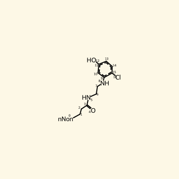 CCCCCCCCCCCC(=O)NCCNc1cc(O)ccc1Cl